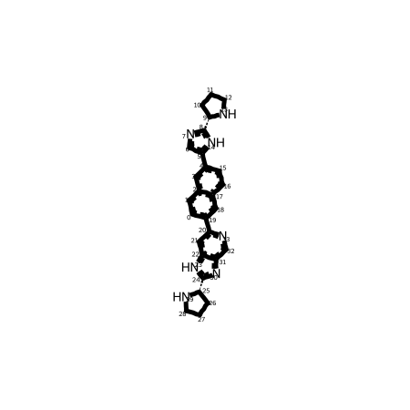 c1cc2cc(-c3cnc([C@@H]4CCCN4)[nH]3)ccc2cc1-c1cc2[nH]c([C@@H]3CCCN3)nc2cn1